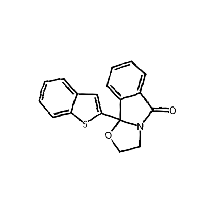 O=C1c2ccccc2C2(c3cc4ccccc4s3)OCCN12